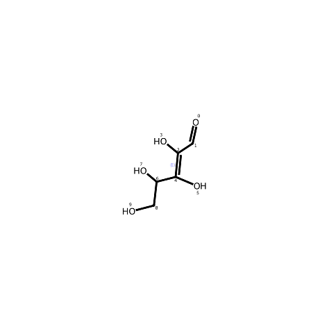 O=C/C(O)=C(\O)C(O)CO